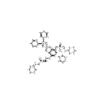 O=C(NCCc1ccc(OP(=O)(OCc2ccccc2)OCc2ccccc2)c(OP(=O)(OCc2ccccc2)OCc2ccccc2)c1)OCc1ccccc1